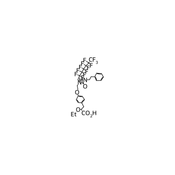 CCOC(Cc1ccc(OCCN(CC(F)(F)C(F)(F)C(F)(F)C(F)(F)C(F)(F)C(F)(F)F)C(=O)NCCc2ccccc2)cc1)C(=O)O